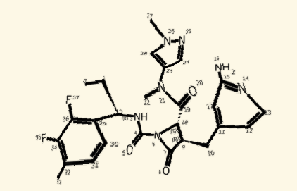 CC[C@@H](NC(=O)N1C(=O)[C@H](Cc2ccnc(N)c2)[C@H]1C(=O)N(C)c1cnn(C)c1)c1ccc(C)c(F)c1F